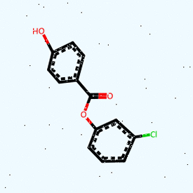 O=C(Oc1cccc(Cl)c1)c1ccc(O)cc1